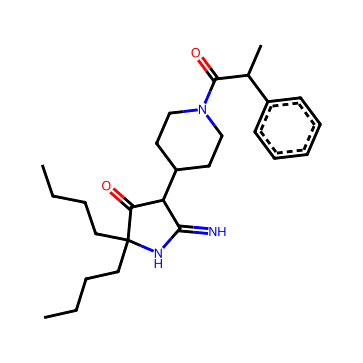 CCCCC1(CCCC)NC(=N)C(C2CCN(C(=O)C(C)c3ccccc3)CC2)C1=O